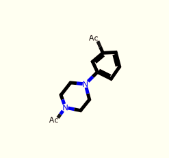 CC(=O)c1cccc(N2CCN(C(C)=O)CC2)c1